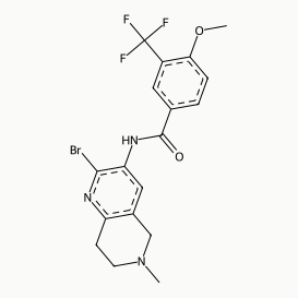 COc1ccc(C(=O)Nc2cc3c(nc2Br)CCN(C)C3)cc1C(F)(F)F